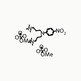 COS(=O)(=O)[O-].COS(=O)(=O)[O-].C[N+](C)(C)CCCN(CCC[N+](C)(C)C)c1ccc([N+](=O)[O-])cc1